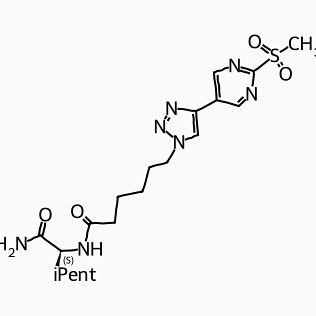 CCCC(C)[C@H](NC(=O)CCCCCn1cc(-c2cnc(S(C)(=O)=O)nc2)nn1)C(N)=O